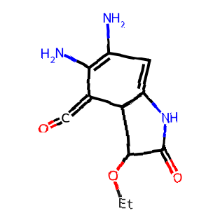 CCOC1C(=O)NC2=CC(N)=C(N)C(=C=O)C21